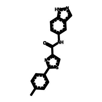 Cc1ccc(-c2nc(C(=O)Nc3ccc4[nH]ncc4c3)cs2)cc1